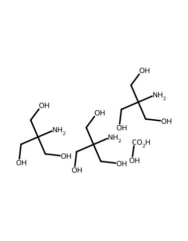 NC(CO)(CO)CO.NC(CO)(CO)CO.NC(CO)(CO)CO.O=C(O)O